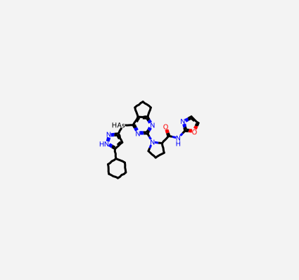 O=C(Nc1ncco1)C1CCCN1c1nc2c(c([AsH]c3cc(C4CCCCC4)[nH]n3)n1)CCC2